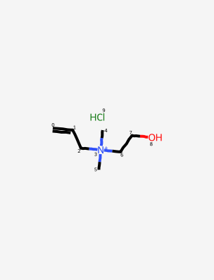 C=CC[N+](C)(C)CCO.Cl